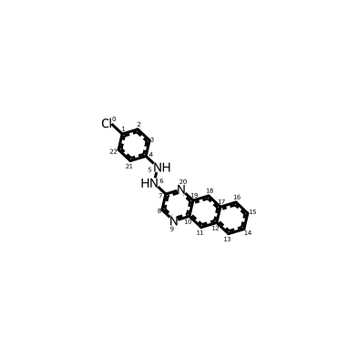 Clc1ccc(NNc2cnc3cc4ccccc4cc3n2)cc1